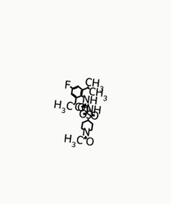 CC(=O)N1CCC(S(=O)(=O)NC(=O)Nc2c(C(C)C)cc(F)cc2C(C)C)CC1